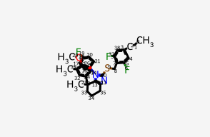 CCCc1cc(F)c(CSc2nc3c(n2-c2ccc(F)cc2)C(C)(c2ccc(OC)c(C)c2)CCC3)c(F)c1